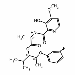 COc1ccnc(C(=O)N[C@@H](C)C(=O)O[C@H](C(C)C)[C@H](C)Oc2cccc(F)c2)c1O